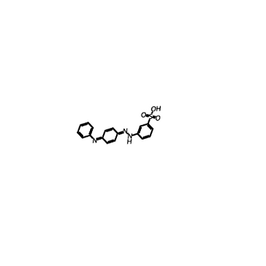 O=S(=O)(O)c1cccc(NN=C2C=CC(=Nc3ccccc3)C=C2)c1